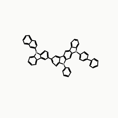 c1ccc(-c2ccc(-n3c4ccccc4c4cc5c6cc(-c7ccc8c(c7)c7ccccc7n8-c7ccc8ccccc8c7)ccc6n(-c6ccccc6)c5cc43)cc2)cc1